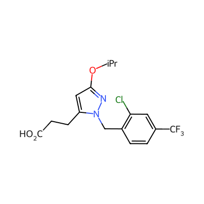 CC(C)Oc1cc(CCC(=O)O)n(Cc2ccc(C(F)(F)F)cc2Cl)n1